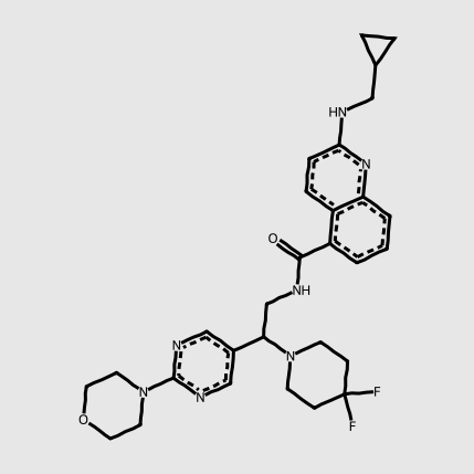 O=C(NCC(c1cnc(N2CCOCC2)nc1)N1CCC(F)(F)CC1)c1cccc2nc(NCC3CC3)ccc12